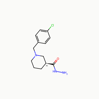 NNC(=O)[C@H]1CCCN(Cc2ccc(Cl)cc2)C1